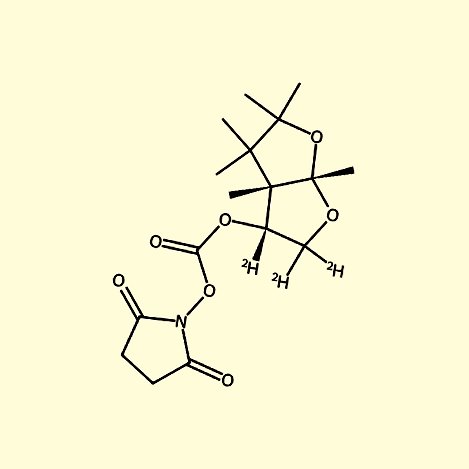 [2H]C1([2H])O[C@@]2(C)OC(C)(C)C(C)(C)[C@@]2(C)[C@@]1([2H])OC(=O)ON1C(=O)CCC1=O